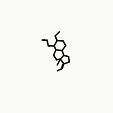 C/C=C1/CCC2C3CCC(CC)C(CCC)C3CCC12C